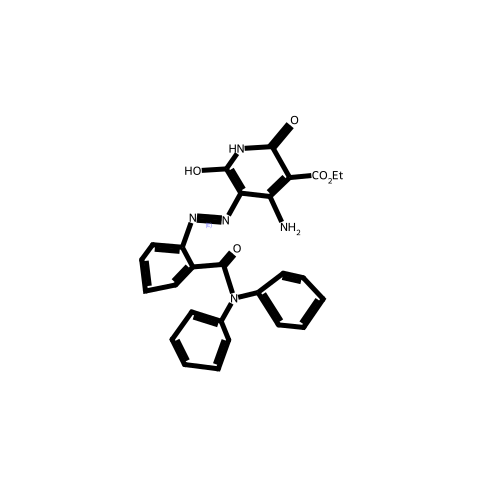 CCOC(=O)c1c(N)c(/N=N/c2ccccc2C(=O)N(c2ccccc2)c2ccccc2)c(O)[nH]c1=O